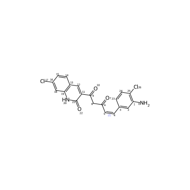 Nc1cc(/C=C\C(=O)CC(=O)c2cc3ccc(Cl)cc3[nH]c2=O)ccc1Cl